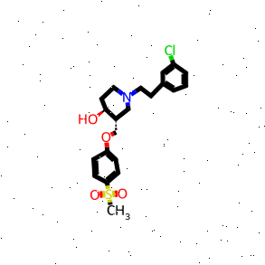 CS(=O)(=O)c1ccc(OC[C@H]2CN(CCc3cccc(Cl)c3)CC[C@@H]2O)cc1